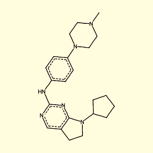 CN1CCN(c2ccc(Nc3ncc4c(n3)N(C3CCCC3)CC4)cc2)CC1